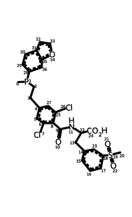 CP(CCc1cc(Cl)c(C(=O)NC(Cc2cccc(S(C)(=O)=O)c2)C(=O)O)c(Cl)c1)c1ccc2ccoc2c1